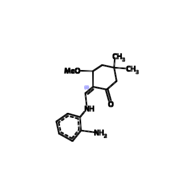 COC1CC(C)(C)CC(=O)/C1=C\Nc1ccccc1N